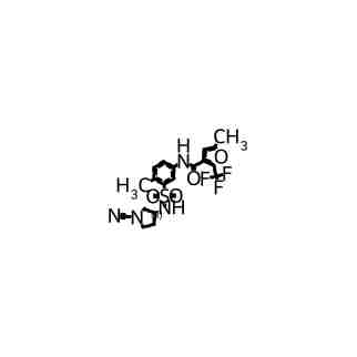 Cc1cc(C(=O)Nc2ccc(C)c(S(=O)(=O)N[C@@H]3CCN(C#N)C3)c2)c(C(F)(F)F)o1